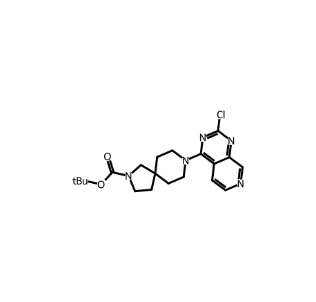 CC(C)(C)OC(=O)N1CCC2(CCN(c3nc(Cl)nc4cnccc34)CC2)C1